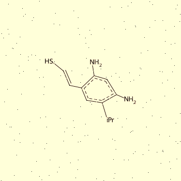 CC(C)c1cc(/C=C/S)c(N)cc1N